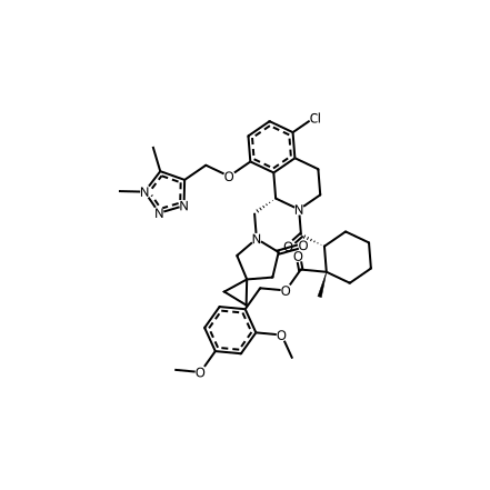 COc1ccc(COC(=O)[C@@]2(C)CCCC[C@H]2C(=O)N2CCc3c(Cl)ccc(OCc4nnn(C)c4C)c3[C@H]2CN2CC3(CC3)CC2=O)c(OC)c1